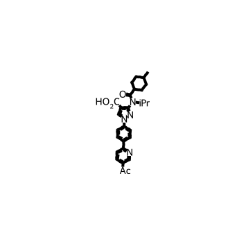 CC(=O)c1ccc(-c2ccc(-n3cc(C(=O)O)c(N(C(=O)C4CCC(C)CC4)C(C)C)n3)cc2)nc1